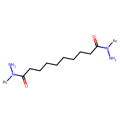 CC(=O)N(N)C(=O)CCCCCCCCC(=O)N(N)C(C)=O